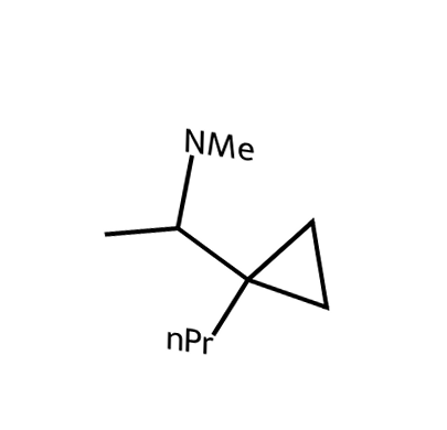 CCCC1(C(C)NC)CC1